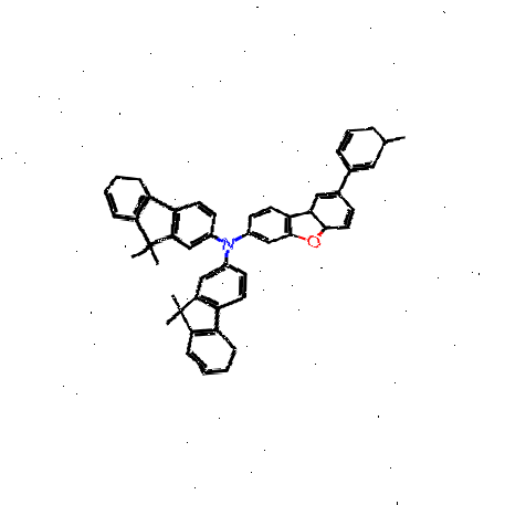 CC1C=C(C2=CC3c4ccc(N(c5ccc6c(c5)C(C)(C)C5=C6CCC=C5)c5ccc6c(c5)C(C)(C)C5=C6CCC=C5)cc4OC3C=C2)C=CC1